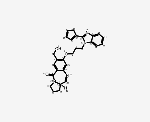 O=C1c2cc(CO)c(OCCCn3c(C4=CC=CC4)nc4ccccc43)cc2N=C[C@@H]2CCCN12